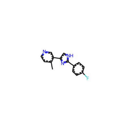 Cc1ccncc1-c1c[nH]c(-c2ccc(F)cc2)n1